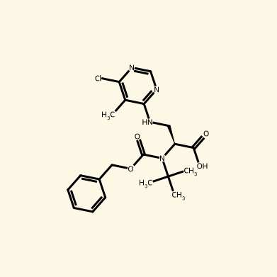 Cc1c(Cl)ncnc1NC[C@@H](C(=O)O)N(C(=O)OCc1ccccc1)C(C)(C)C